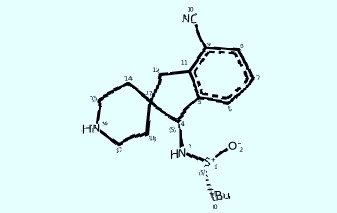 CC(C)(C)[S@@+]([O-])N[C@@H]1c2cccc(C#N)c2CC12CCNCC2